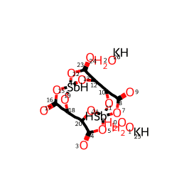 O.O.O.O=C1[O][SbH]23[O]C(=O)C([O]2)C2[O][SbH]4([O]C(=O)C([O]4)C1[O]3)[O]C2=O.[KH].[KH]